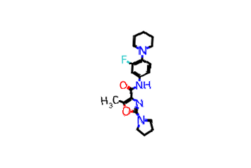 Cc1oc(N2CCCC2)nc1C(=O)Nc1ccc(N2CCCCC2)c(F)c1